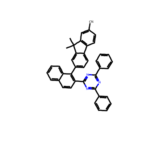 CC1(C)c2cc(C#N)ccc2-c2ccc(-c3c(-c4nc(-c5ccccc5)nc(-c5ccccc5)n4)ccc4ccccc34)cc21